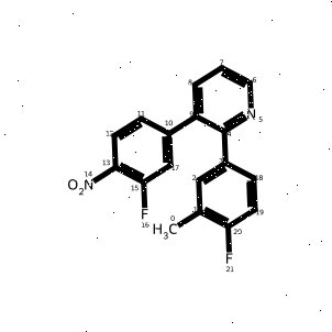 Cc1cc(-c2ncccc2-c2ccc([N+](=O)[O-])c(F)c2)ccc1F